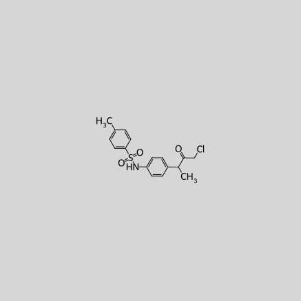 Cc1ccc(S(=O)(=O)Nc2ccc(C(C)C(=O)CCl)cc2)cc1